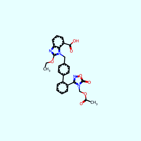 CCOc1nc2cccc(C(=O)O)c2n1Cc1ccc(-c2ccccc2-c2noc(=O)n2COC(C)=O)cc1